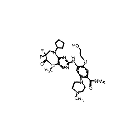 CNC(=O)c1cc(OCCO)c(Nc2ncc3c(n2)N(C2CCCC2)CC(F)(F)C(=O)N3C)cc1N1CCN(C)CC1